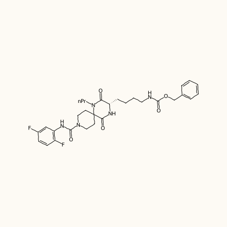 CCCN1C(=O)[C@H](CCCCNC(=O)OCc2ccccc2)NC(=O)C12CCN(C(=O)Nc1cc(F)ccc1F)CC2